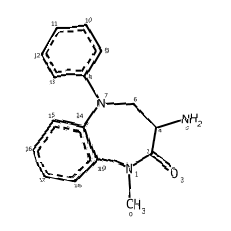 CN1C(=O)C(N)CN(c2ccccc2)c2ccccc21